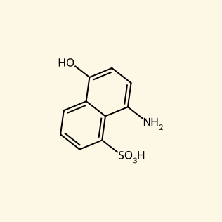 Nc1ccc(O)c2cccc(S(=O)(=O)O)c12